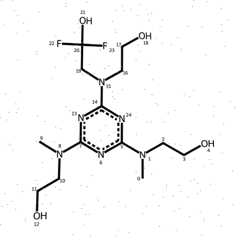 CN(CCO)c1nc(N(C)CCO)nc(N(CCO)CC(O)(F)F)n1